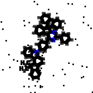 CC1(C)c2ccccc2-c2ccc3c(c21)c1ccccc1n3-c1ccc(-c2nc(-c3ccccc3)nc3c2-c2ccccc2[Si]3(c2ccccc2)c2ccccc2)cc1